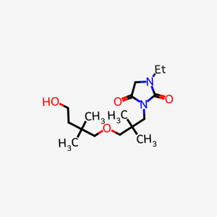 CCN1CC(=O)N(CC(C)(C)COCC(C)(C)CCO)C1=O